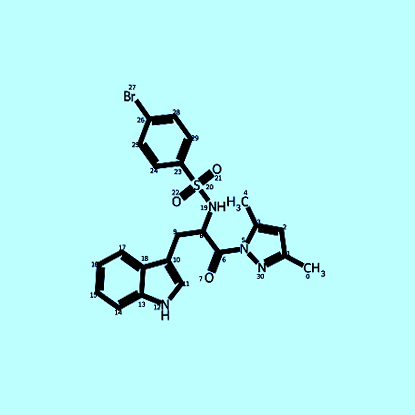 Cc1cc(C)n(C(=O)C(Cc2c[nH]c3ccccc23)NS(=O)(=O)c2ccc(Br)cc2)n1